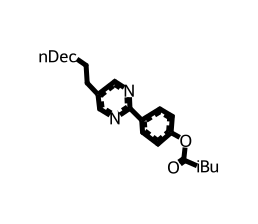 CCCCCCCCCCCCc1cnc(-c2ccc(OC(=O)C(C)CC)cc2)nc1